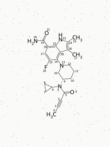 CC#CC(=O)N(C1CC1)[C@H]1CCCN(c2c(F)cc(C(N)=O)c3[nH]c(C)c(C)c23)C1